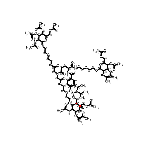 CC(=O)NC1C(OCCOCCNC(=O)CN(CC(=O)NCCOCCOC2OC(COC(C)=O)C(OC(C)=O)C(OC(C)=O)C2NC(C)=O)C(=O)CCC(NC(=O)c2ccc(OP(OCCC#N)N(C(C)C)C(C)C)cc2)C(=O)NCCOCCOC2OC(COC(C)=O)C(OC(C)=O)C(OC(C)=O)C2NC(C)=O)OC(COC(C)=O)C(OC(C)=O)C1OC(C)=O